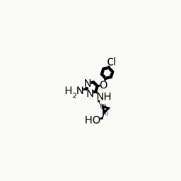 Nc1ncc(Oc2ccc(Cl)cc2)c(NC[C@@H]2C[C@H]2CO)n1